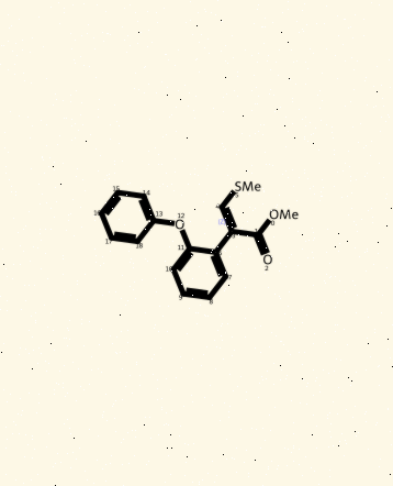 COC(=O)/C(=C\SC)c1ccccc1Oc1ccccc1